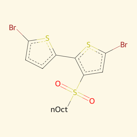 CCCCCCCCS(=O)(=O)c1cc(Br)sc1-c1ccc(Br)s1